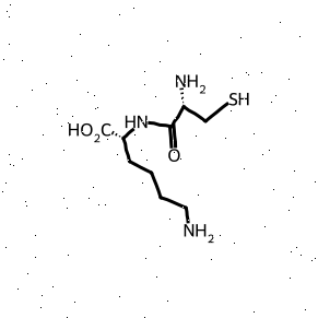 NCCCC[C@@H](NC(=O)[C@H](N)CS)C(=O)O